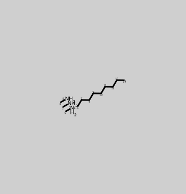 CN.CN.CN.[CH2]CCCCCCCC